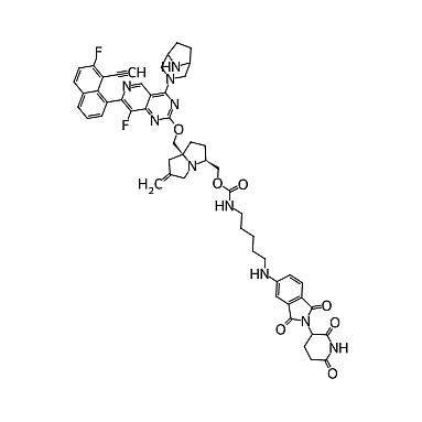 C#Cc1c(F)ccc2cccc(-c3ncc4c(N5CC6CCC(C5)N6)nc(OC[C@@]56CC[C@@H](COC(=O)NCCCCCNc7ccc8c(c7)C(=O)N(C7CCC(=O)NC7=O)C8=O)N5CC(=C)C6)nc4c3F)c12